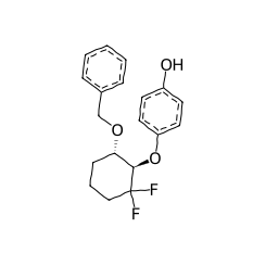 Oc1ccc(O[C@@H]2[C@@H](OCc3ccccc3)CCCC2(F)F)cc1